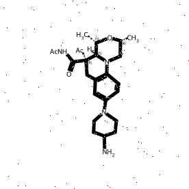 CC(=O)NC(=O)[C@]1(C(C)=O)Cc2cc(N3CCC(N)CC3)ccc2N2C[C@@H](C)O[C@@H](C)[C@@H]21